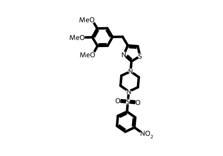 COc1cc(Cc2csc(N3CCN(S(=O)(=O)c4cccc([N+](=O)[O-])c4)CC3)n2)cc(OC)c1OC